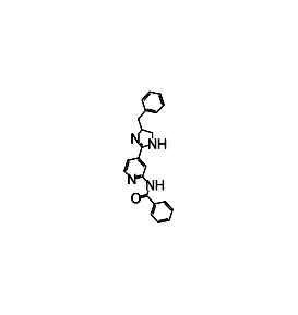 O=C(Nc1cc(C2=NC(Cc3ccccc3)CN2)ccn1)c1ccccc1